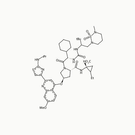 CCC1C[C@]1(NC(=O)[C@@H]1C[C@@H](Oc2cc(-c3csc(NC(C)C)n3)nc3cc(OC)ccc23)CN1C(=O)[C@@H](NC(=O)NC(CN1CCCN(C)S1(=O)=O)C(C)(C)C)C1CCCCC1)C(=O)O